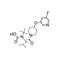 CC(C)[C@@H](C(=O)N1CCC(Oc2cncc(F)c2)CC1)N(C(=O)O)C(C)(C)C